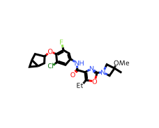 CCc1oc(N2CC(C)(OC)C2)nc1C(=O)Nc1cc(F)c(OC2CC3CC3C2)c(Cl)c1